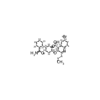 CCCc1nc2ccc(Br)cc2c(C(=O)O)c1Oc1ccc(-c2ccccc2C(N)=O)cc1